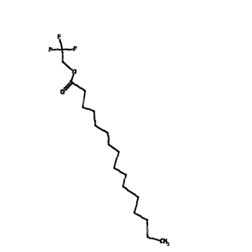 CCCCCCCCCCCCCCCC(=O)OCC(F)(F)F